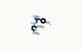 COc1ccc(NCc2c[nH]nc2-c2ccc(C(F)(F)F)cc2)c(OC)n1